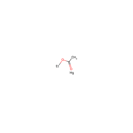 CCOC(C)=O.[Hg]